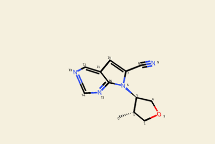 C[C@H]1COC[C@@H]1n1c(C#N)cc2cncnc21